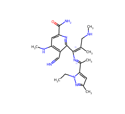 CCn1nc(C)cc1/C(C)=N/C(=C(\C)CNC)c1nc(C(N)=O)cc(NC)c1C=N